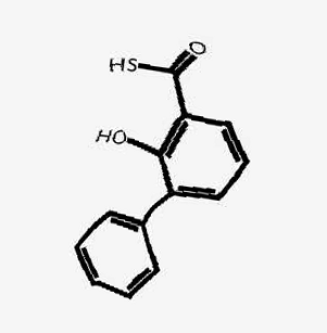 O=C(S)c1cccc(-c2ccccc2)c1O